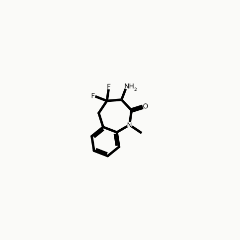 CN1C(=O)C(N)C(F)(F)Cc2ccccc21